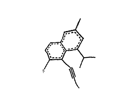 CC#Cc1c(F)ccc2cc(C)cc(C(C)C)c12